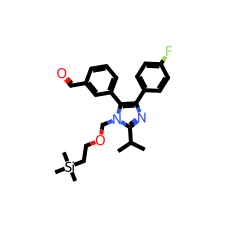 CC(C)c1nc(-c2ccc(F)cc2)c(-c2cccc(C=O)c2)n1COCC[Si](C)(C)C